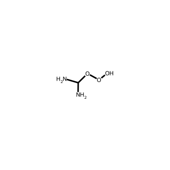 NC(N)OOO